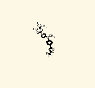 CN(c1ccc(-c2noc(C(F)(F)F)n2)cc1)C1CCN(C(=O)OC(C)(C)C)C1